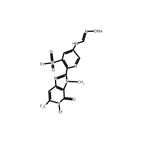 CCn1c(C(F)(F)F)cc2nc(-c3ncc(N/C=N/OC)cc3S(=O)(=O)CC)n(C)c2c1=O